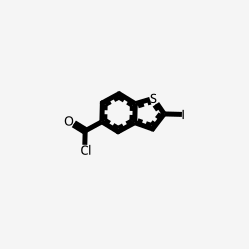 O=C(Cl)c1ccc2sc(I)cc2c1